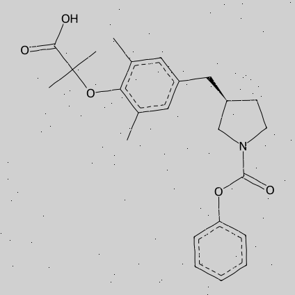 Cc1cc(C[C@H]2CCN(C(=O)Oc3ccccc3)C2)cc(C)c1OC(C)(C)C(=O)O